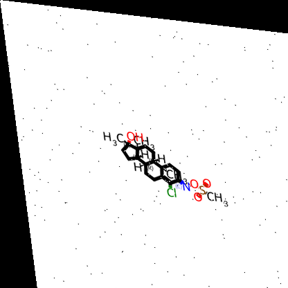 C[C@]12CC/C(=N\OS(C)(=O)=O)C(Cl)=C1CC[C@@H]1[C@@H]2CC[C@@]2(C)[C@H]1CC[C@]2(C)O